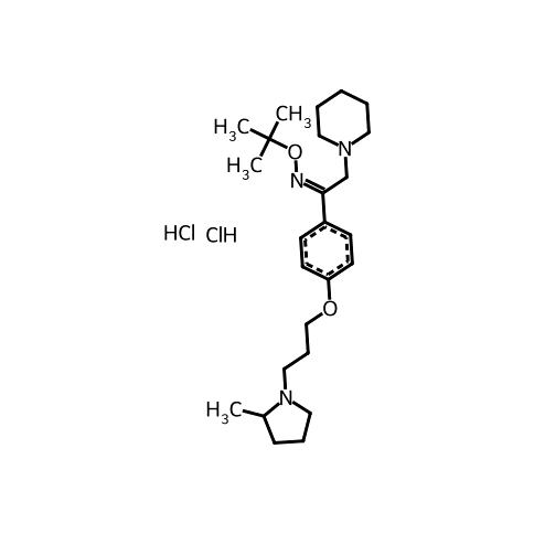 CC1CCCN1CCCOc1ccc(C(CN2CCCCC2)=NOC(C)(C)C)cc1.Cl.Cl